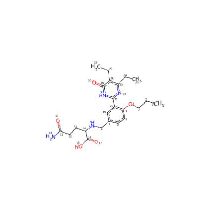 CCCOc1ccc(CNC(CCC(N)=O)C(=O)O)cc1-c1nc(CC)c(CC)c(=O)[nH]1